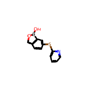 OB1OCc2ccc(Sc3ccccn3)cc21